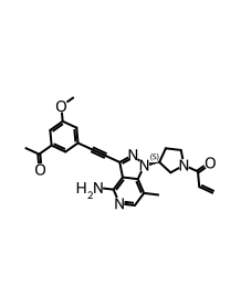 C=CC(=O)N1CC[C@H](n2nc(C#Cc3cc(OC)cc(C(C)=O)c3)c3c(N)ncc(C)c32)C1